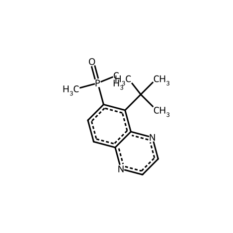 CC(C)(C)c1c(P(C)(C)=O)ccc2nccnc12